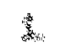 CC(C)N1CCc2c(nc(-c3ccc(Nc4cccc(=O)[nH]4)nc3)nc2N2CCOC[C@@H]2C)C1